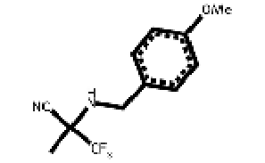 COc1ccc(CNC(C)(C#N)C(F)(F)F)cc1